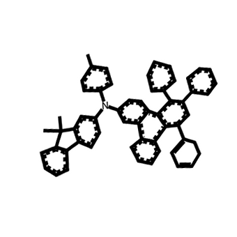 Cc1ccc(N(c2ccc3c(c2)C(C)(C)c2ccccc2-3)c2ccc3c(c2)c2ccccc2c2c(C4=CC=CCC4)cc(-c4ccccc4)c(-c4ccccc4)c32)cc1